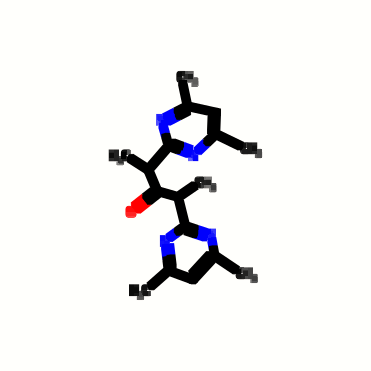 Cc1cc(C)nc(C(C)C(=O)C(C)c2nc(C)cc(C)n2)n1